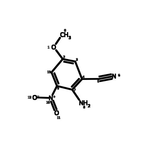 COc1cc(C#N)c(N)c([N+](=O)[O-])c1